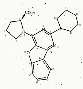 O=C(O)[C@@H]1CCCN1c1nc(C2CCCCC2)nc2c1oc1ccccc12